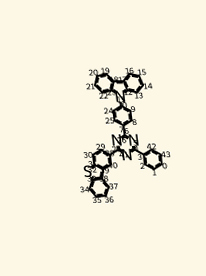 c1ccc(-c2nc(-c3ccc(-n4c5ccccc5c5ccccc54)cc3)nc(-c3ccc4sc5ccccc5c4c3)n2)cc1